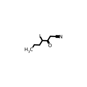 CCCC(I)C(=O)CC#N